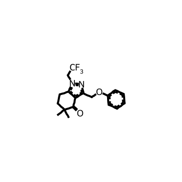 CC1(C)CCc2c(c(COc3ccccc3)nn2CC(F)(F)F)C1=O